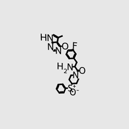 Cc1c[nH]c2ncnc(Oc3ccc(CC(N)C(=O)N4CCC([S+]([O-])c5ccccc5)CC4)cc3F)c12